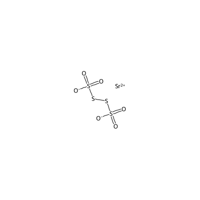 O=S(=O)([O-])SSS(=O)(=O)[O-].[Sr+2]